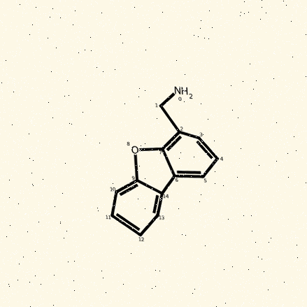 NCc1cccc2c1oc1ccccc12